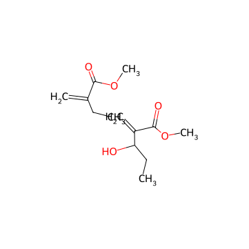 C=C(C(=O)OC)C(O)CC.C=C(CC)C(=O)OC